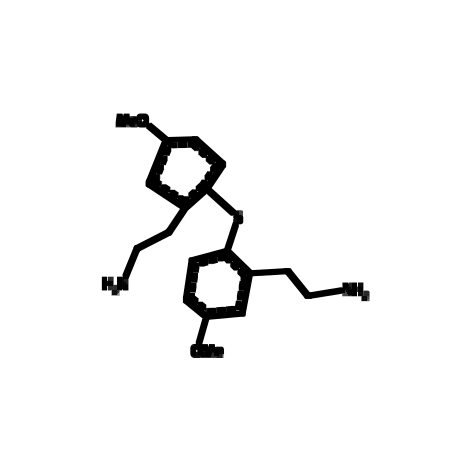 COc1ccc(Sc2ccc(OC)cc2CCN)c(CCN)c1